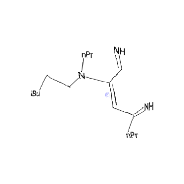 CCCC(=N)/C=C(\C=N)N(CCC)CCC(C)CC